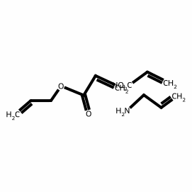 C=CC(=O)O.C=CCN.C=CCOC(=O)C=C